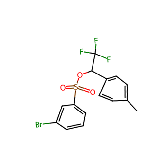 Cc1ccc(C(OS(=O)(=O)c2cccc(Br)c2)C(F)(F)F)cc1